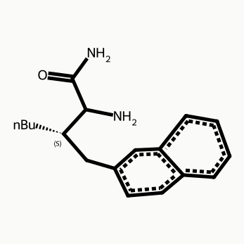 CCCC[C@@H](Cc1ccc2ccccc2c1)C(N)C(N)=O